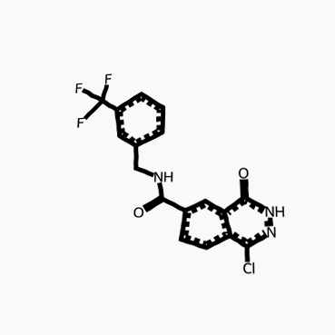 O=C(NCc1cccc(C(F)(F)F)c1)c1ccc2c(Cl)n[nH]c(=O)c2c1